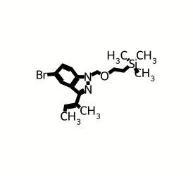 CC=C(C)c1nn(COCC[Si](C)(C)C)c2ccc(Br)cc12